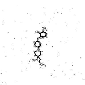 CCCC1(N)CCN(c2cnc(Sc3ccnc(N)c3Cl)cn2)CC1